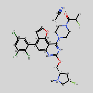 CC(F)C(=O)N1CCN(c2nc(OC[C@@H]3C[C@@H](F)CN3C)nc3cc(-c4cc(Cl)cc(Cl)c4Cl)c4ccoc4c23)C[C@@H]1CC#N